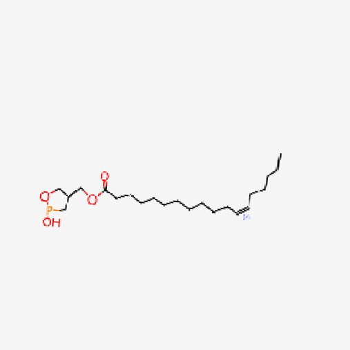 CCCCC/C=C\CCCCCCCCCCC(=O)OCC1COP(O)C1